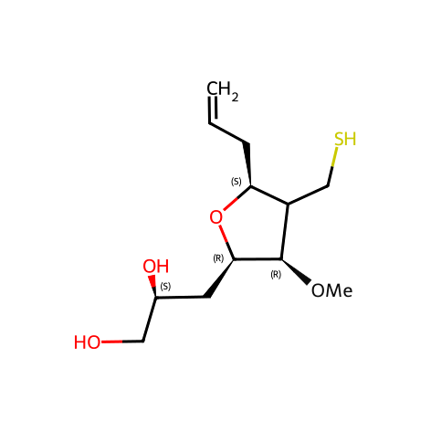 C=CC[C@@H]1O[C@H](C[C@H](O)CO)[C@H](OC)C1CS